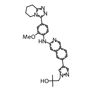 COc1cc(-c2nnc3n2CCCC3)ccc1Nc1cc2cc(-c3cnn(CC(C)(C)O)c3)ccc2cn1